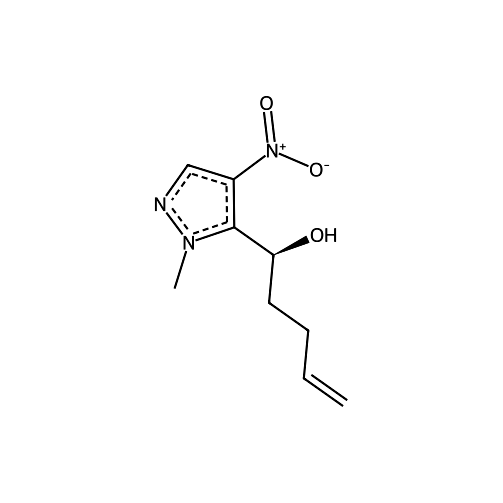 C=CCC[C@H](O)c1c([N+](=O)[O-])cnn1C